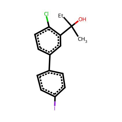 CCC(C)(O)c1cc(-c2ccc(I)cc2)ccc1Cl